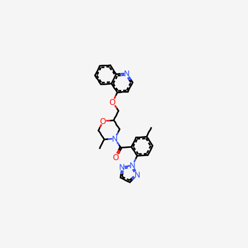 Cc1ccc(-n2nccn2)c(C(=O)N2CC(COc3ccnc4ccccc34)OCC2C)c1